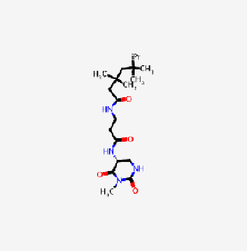 CC(C)C(C)(C)CC(C)(C)CC(=O)NCCC(=O)N[C@@H]1CNC(=O)N(C)C1=O